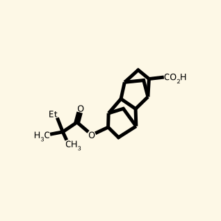 CCC(C)(C)C(=O)OC1CC2CC1C1C3CC(C(=O)O)C(C3)C21